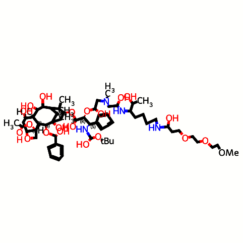 COCCOCCOCCC(O)NCCCCC(NC(O)CN(C)CC(O)O[C@@H](C(O)O[C@H]1CC2(O)[C@@H](OC(O)c3ccccc3)[C@H]3C(C)(C(O)CC4OC[C@]43OC(C)O)C(O)C(O)C(C1C)C2(C)C)[C@@H](NC(O)OC(C)(C)C)c1ccccc1)C(C)O